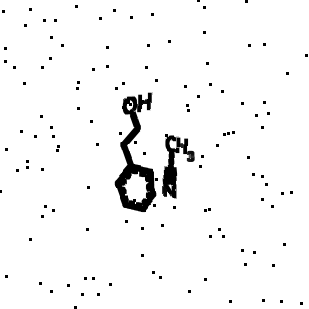 CC#N.OCCc1ccccc1